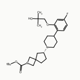 CC(C)(O)COc1cc(F)ccc1C1CCN([C@@H]2CCC3(C2)CN(C(=O)OC(C)(C)C)C3)CC1